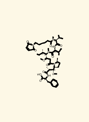 CC[C@H](C)[C@@H](C(CC(=O)N1[C@@H](C)CC[C@H]1[C@H](OC)[C@@H](C)C(=O)N[C@@H](Cc1ccccc1)C(=O)O)OC)N(C)C(=O)[C@@H](NC(=O)[C@H](C(C)C)N(C)C(=O)CCCCCN1C(=O)C=CC1=O)C(C)C